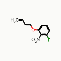 C=CCCOc1cccc(F)c1[N+](=O)[O-]